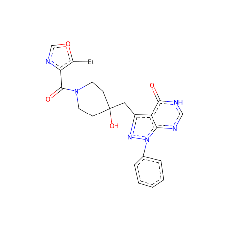 CCc1ocnc1C(=O)N1CCC(O)(Cc2nn(-c3ccccc3)c3nc[nH]c(=O)c23)CC1